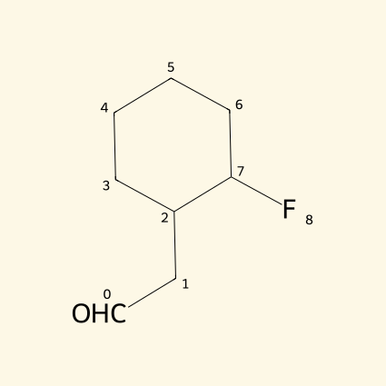 O=CCC1CCCCC1F